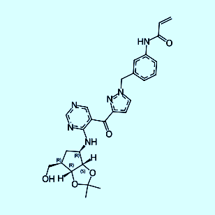 C=CC(=O)Nc1cccc(Cn2ccc(C(=O)c3cncnc3N[C@@H]3C[C@H](CO)[C@H]4OC(C)(C)O[C@H]43)n2)c1